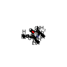 CCn1nc(C)cc1C(=O)Nc1nc2cc(C(N)=O)cc3c2n1C/C=C/Cn1c(NC(=O)c2cc(C)nn2CC)nc2cc(C(=O)N[C@H]4CC[C@H](c5nnn[nH]5)CC4)cc(c21)OC[C@H](N1C2CCC1COC2)CO3